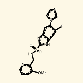 COc1cccnc1CNS(=O)(=O)c1nc2cc(-n3ccnc3)c(F)cc2[nH]1